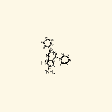 Nc1cc2c(-c3ccccc3)nc(-c3ccccc3)nc2[nH]1